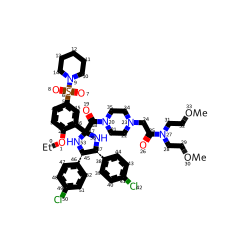 CCOc1ccc(S(=O)(=O)N2CCCCC2)cc1C1(C(=O)N2CCN(CC(=O)N(CCOC)CCOC)CC2)N[C@H](c2ccc(Cl)cc2)[C@H](c2ccc(Cl)cc2)N1